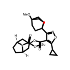 COC12CCC(c3noc(C4CC4)c3C(=O)O[C@H]3C[C@H]4CC[C@@H](C3)N4C(=O)OC(C)(C)C)(CC1)CC2